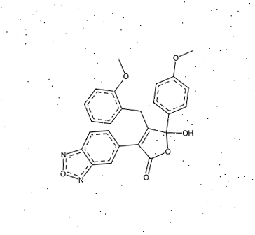 COc1ccc(C2(O)OC(=O)C(c3ccc4nonc4c3)=C2Cc2ccccc2OC)cc1